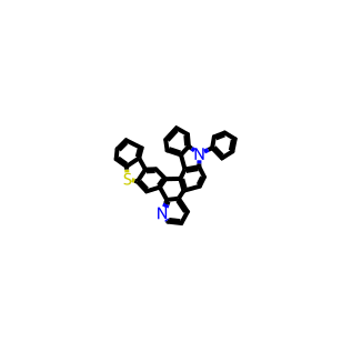 c1ccc(-n2c3ccccc3c3c4c(ccc32)c2cccnc2c2cc3sc5ccccc5c3cc24)cc1